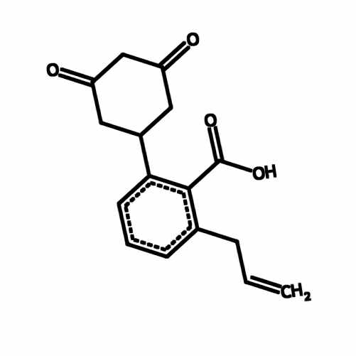 C=CCc1cccc(C2CC(=O)CC(=O)C2)c1C(=O)O